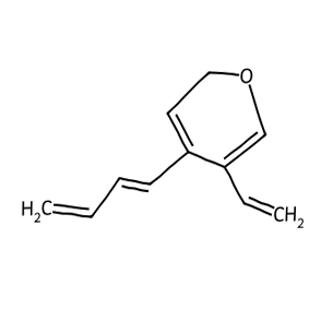 C=C/C=C/C1=CCOC=C1C=C